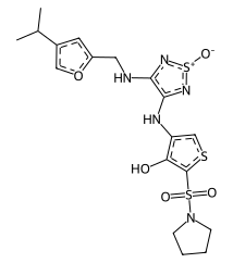 CC(C)c1coc(CNc2n[s+]([O-])nc2Nc2csc(S(=O)(=O)N3CCCC3)c2O)c1